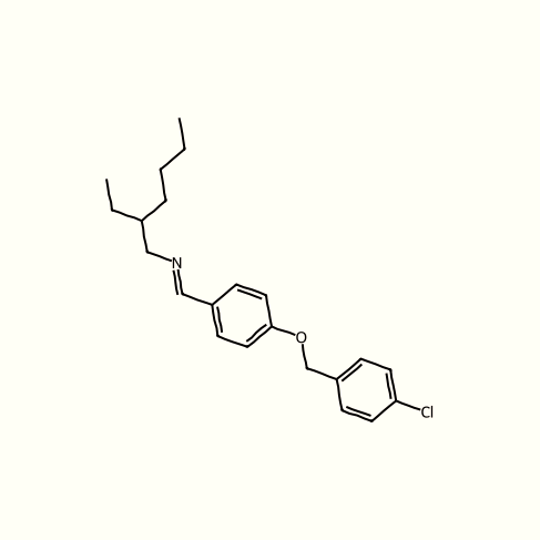 CCCCC(CC)CN=Cc1ccc(OCc2ccc(Cl)cc2)cc1